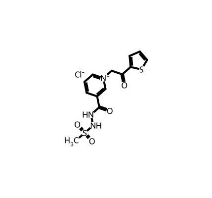 CS(=O)(=O)NNC(=O)c1ccc[n+](CC(=O)c2cccs2)c1.[Cl-]